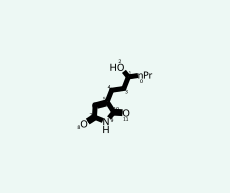 CCCC(O)CCC1=CC(=O)NC1=O